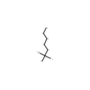 [CH2]C(F)(F)CCCCC